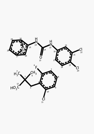 CC(C)(Cc1c(F)cccc1Cl)C(=O)O.O=C(Nc1ccc(Cl)c(Cl)c1)Nc1cc2ccc1o2